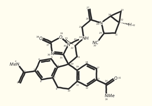 C=C(NC)c1ccc2c(c1)CCc1cc(C(=O)NC)ccc1C2(C[C@H](C)NCC(=C)N1C(C#N)C[C@@H]2CC21)c1nc(=O)on1C